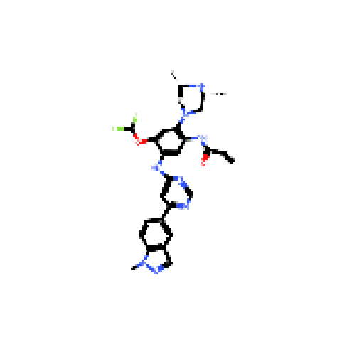 C=CC(=O)Nc1cc(Nc2cc(-c3ccc4c(cnn4C)c3)ncn2)c(OC(F)F)cc1N1C[C@@H](C)N[C@@H](C)C1